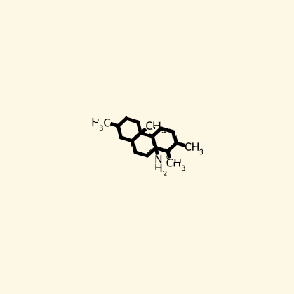 CC1CCC2(C)C(CCC3(N)C(C)C(C)CCC23)C1